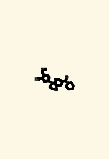 N=Cn1ccc(N2CCOc3cc(C(=O)N4CCCCC4)cnc32)cc1=N